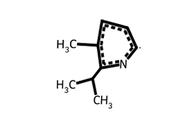 Cc1cc[c]nc1C(C)C